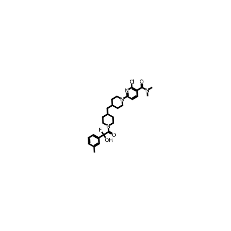 Cc1cccc(C(O)(F)C(=O)N2CCC(CC3CCN(c4ccc(C(=O)N(C)C)c(Cl)n4)CC3)CC2)c1